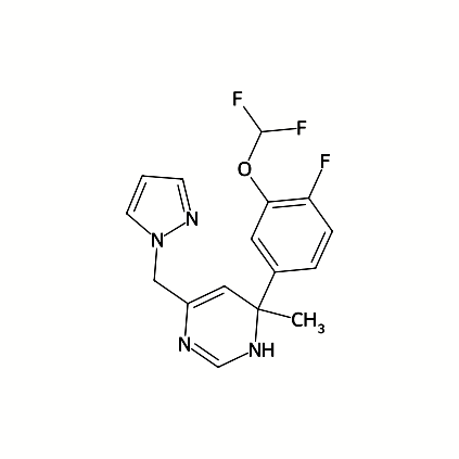 CC1(c2ccc(F)c(OC(F)F)c2)C=C(Cn2cccn2)N=CN1